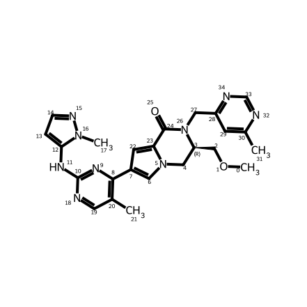 COC[C@H]1Cn2cc(-c3nc(Nc4ccnn4C)ncc3C)cc2C(=O)N1Cc1cc(C)ncn1